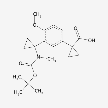 COc1ccc(C2(C(=O)O)CC2)cc1C1(N(C)C(=O)OC(C)(C)C)CC1